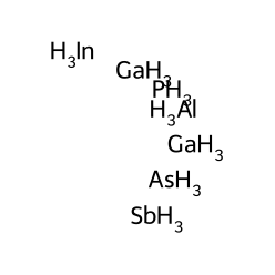 P.[AlH3].[AsH3].[GaH3].[GaH3].[InH3].[SbH3]